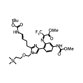 COC(=O)Nc1ccc(-c2cn(COCC[Si](C)(C)C)c(CC/C=C/NC(=O)OC(C)(C)C)n2)c(N=C(C(=O)OC)C(F)(F)F)c1